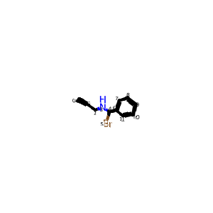 C#CCNC(Br)c1ccccc1